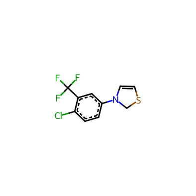 FC(F)(F)c1cc(N2C=CSC2)ccc1Cl